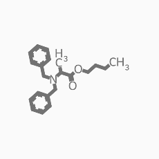 CCCCOC(=O)C(C)N(Cc1ccccc1)Cc1ccccc1